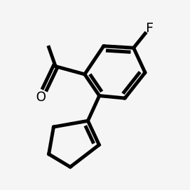 CC(=O)c1cc(F)ccc1C1=CCCC1